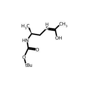 CC(O)=[SH]C[C@H](C)NC(=O)OC(C)(C)C